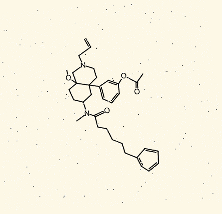 C=CCN1CCC2(c3cccc(OC(C)=O)c3)CC(N(C)C(=O)CCCCCc3ccccc3)CCC2(OC)C1